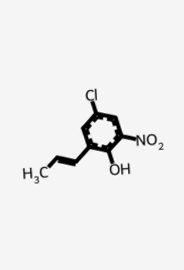 CC=Cc1cc(Cl)cc([N+](=O)[O-])c1O